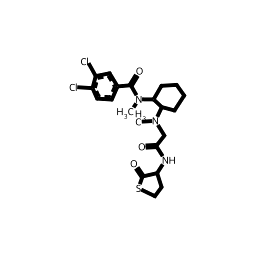 CN(CC(=O)NC1CCSC1=O)C1CCCCC1N(C)C(=O)c1ccc(Cl)c(Cl)c1